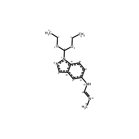 CCOC(OCC)n1ncc2cc(NC=NC)ccc21